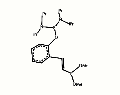 COP(/C=C/c1ccccc1OP(N(C(C)C)C(C)C)N(C(C)C)C(C)C)OC